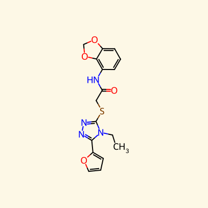 CCn1c(SCC(=O)Nc2cccc3c2OCO3)nnc1-c1ccco1